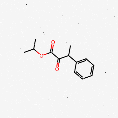 CC(C)OC(=O)C(=O)C(C)c1ccccc1